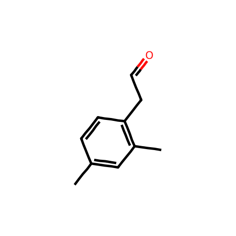 Cc1ccc(CC=O)c(C)c1